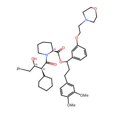 COc1ccc(CCC(OC(=O)[C@@H]2CCCCN2C(=O)[C@@H](C2CCCCC2)[C@H](O)CC(C)C)c2cccc(OCCN3CCOCC3)c2)cc1OC